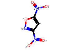 O=[N+]([O-])c1cc([N+](=O)[O-])on1